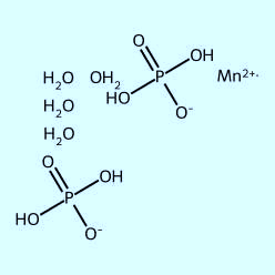 O.O.O.O.O=P([O-])(O)O.O=P([O-])(O)O.[Mn+2]